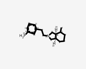 CC1CCC[C@H]2CN(CCc3cccc(P)c3)C[C@@H]12